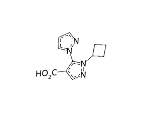 O=C(O)c1cnn(C2CCC2)c1-n1cccn1